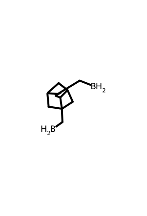 BCC1=C2C3CC(C1)CC2(CB)C3